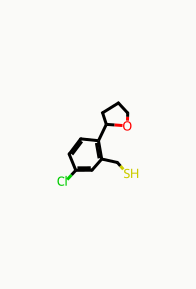 SCc1cc(Cl)ccc1C1CCCO1